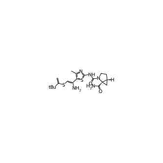 C=C(S/C=C(\N)c1sc(NC(=O)N2CC[C@@H]3C[C@@]32C(N)=O)nc1C)C(C)(C)C